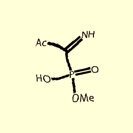 COP(=O)(O)C(=N)C(C)=O